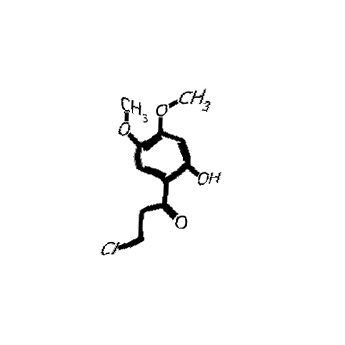 COc1cc(O)c(C(=O)CCCl)cc1OC